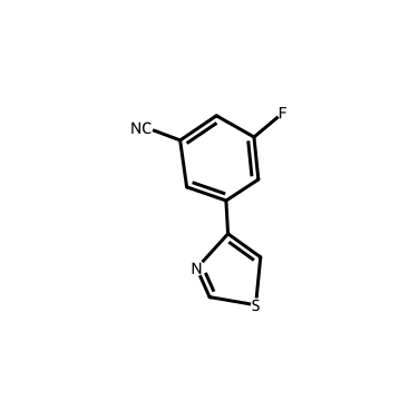 N#Cc1cc(F)cc(-c2cscn2)c1